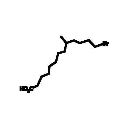 CC(C)CCCCC(C)CCCCCCCC(=O)O